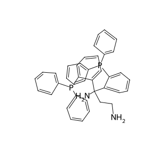 NCCC(N)(c1ccccc1P(c1ccccc1)c1ccccc1)c1ccccc1P(c1ccccc1)c1ccccc1